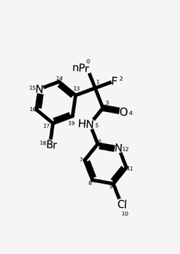 CCCC(F)(C(=O)Nc1ccc(Cl)cn1)c1cncc(Br)c1